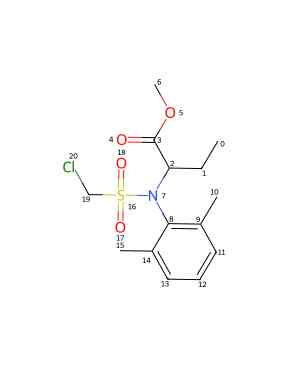 CCC(C(=O)OC)N(c1c(C)cccc1C)S(=O)(=O)CCl